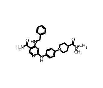 CN(C)C(=O)C1CCN(c2ccc(Nc3cc(NCc4ccccc4)c(C(N)=O)cn3)cc2)CC1